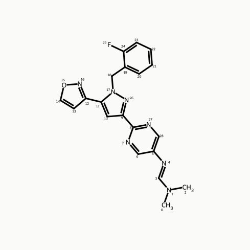 CN(C)C=Nc1cnc(-c2cc(-c3ccon3)n(Cc3ccccc3F)n2)nc1